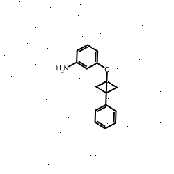 Nc1cccc(OC23CC2(c2ccccc2)C3)c1